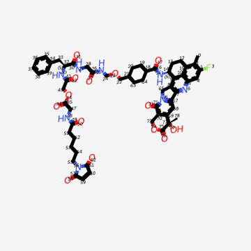 Cc1c(F)cc2nc3c(c4c2c1CC[C@@H]4NC(=O)C1CCC(COCNC(=O)CNC(=O)[C@H](Cc2ccccc2)NC(=O)COC(=O)CNC(=O)CCCCCN2C(=O)C=CC2=O)CC1)Cn1c-3cc2c(c1=O)COC(=O)[C@@]2(C)O